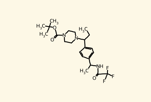 CCC(c1ccc(C(C)NC(=O)C(F)(F)F)cc1)N1CCN(C(=O)OC(C)(C)C)CC1